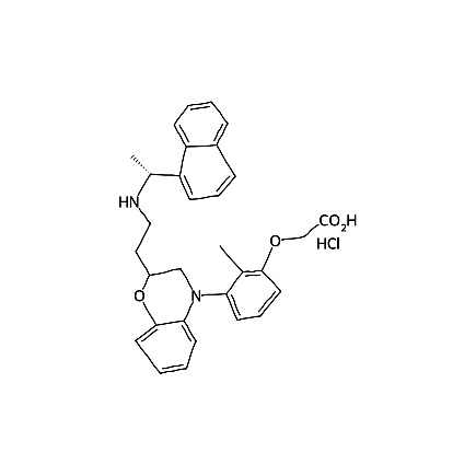 Cc1c(OCC(=O)O)cccc1N1CC(CCN[C@H](C)c2cccc3ccccc23)Oc2ccccc21.Cl